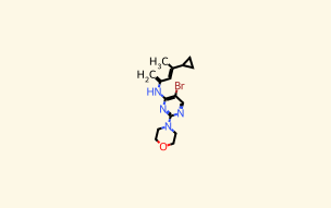 C=C(/C=C(\C)C1CC1)Nc1nc(N2CCOCC2)ncc1Br